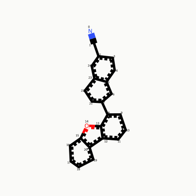 N#Cc1ccc2cc(-c3cccc4c3oc3ccccc34)ccc2c1